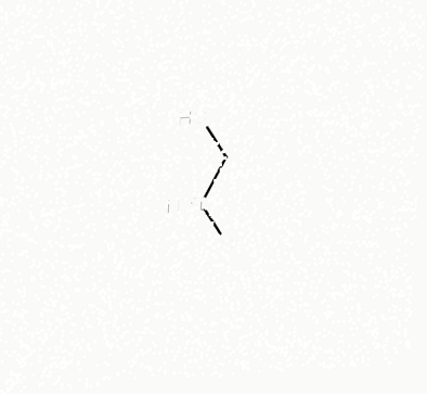 [O][SiH2]CO